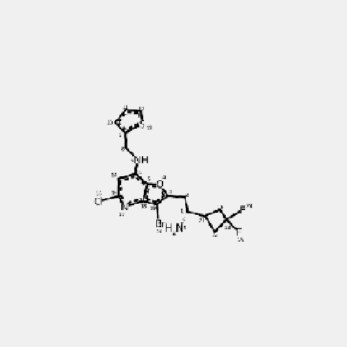 N[C@H](Cc1oc2c(NCc3cccs3)cc(Cl)nc2c1Br)C1CC(F)(F)C1